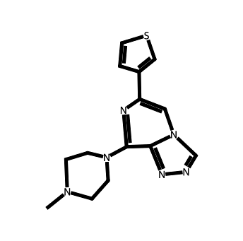 CN1CCN(c2nc(-c3ccsc3)cn3cnnc23)CC1